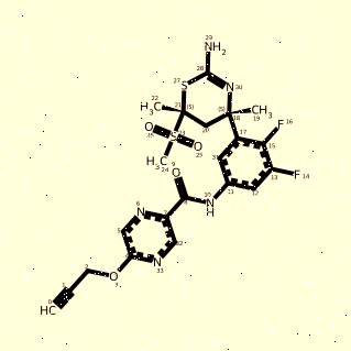 C#CCOc1cnc(C(=O)Nc2cc(F)c(F)c([C@]3(C)C[C@](C)(S(C)(=O)=O)SC(N)=N3)c2)cn1